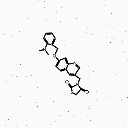 CN(C)c1ccccc1COc1ccc2cc(CN3C(=O)CSC3=O)cnc2c1